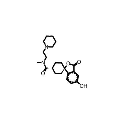 CN(CCN1CCCCC1)C(=O)[C@H]1CC[C@@]2(CC1)OC(=O)c1cc(O)ccc12